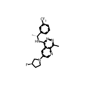 Cc1nnc(N[C@H](C)c2cccc(C(F)(F)F)c2)c2cc(N3CC[C@@H](F)C3)cnc12